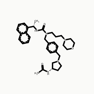 C[C@H](NC(=O)N(CCCN1CCOCC1)Cc1ccc(CN2CC[C@H](NC(N)=O)C2)cc1)c1cccc2ccccc12